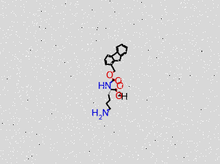 [2H]OC(=O)[C@H](CCCCN)NC(=O)OCc1cccc2c1Cc1ccccc1-2